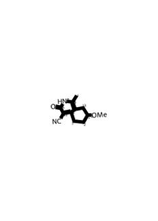 COC1CCc2c(c(C)[nH]c(=O)c2C#N)C1